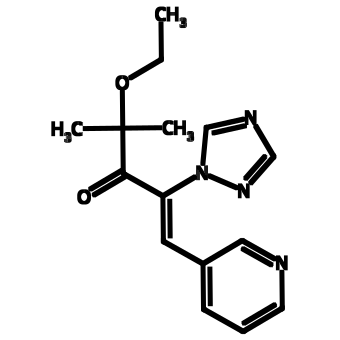 CCOC(C)(C)C(=O)C(=Cc1cccnc1)n1cncn1